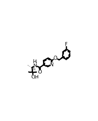 C[C@H](NC(=O)c1ccc(OCc2cccc(F)c2)nc1)C(C)(C)O